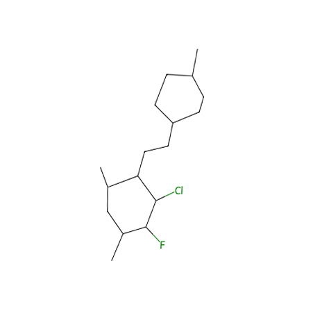 CC1CCC(CCC2C(C)CC(C)C(F)C2Cl)CC1